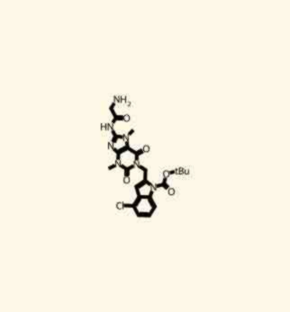 Cn1c(NC(=O)CN)nc2c1c(=O)n(Cc1cc3c(Cl)cccc3n1C(=O)OC(C)(C)C)c(=O)n2C